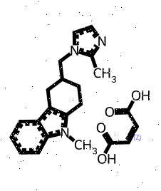 Cc1nccn1CC1CCc2c(c3ccccc3n2C)C1.O=C(O)/C=C\C(=O)O